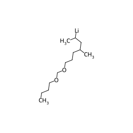 [Li][CH](C)CC(C)CCCOCOCCCC